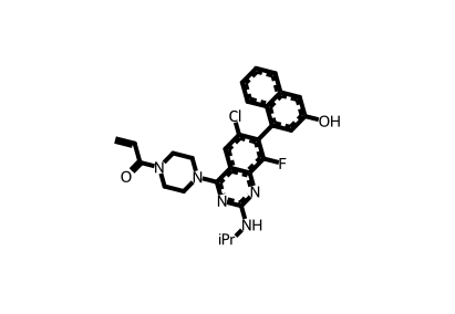 C=CC(=O)N1CCN(c2nc(NC(C)C)nc3c(F)c(-c4cc(O)cc5ccccc45)c(Cl)cc23)CC1